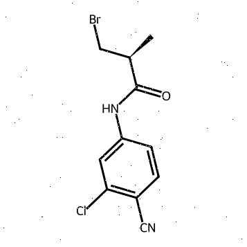 C[C@H](CBr)C(=O)Nc1ccc(C#N)c(Cl)c1